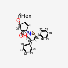 CCCCCCOc1ccc(N2C=C(c3ccccc3)C=C(c3ccccc3)S2)c(O)c1